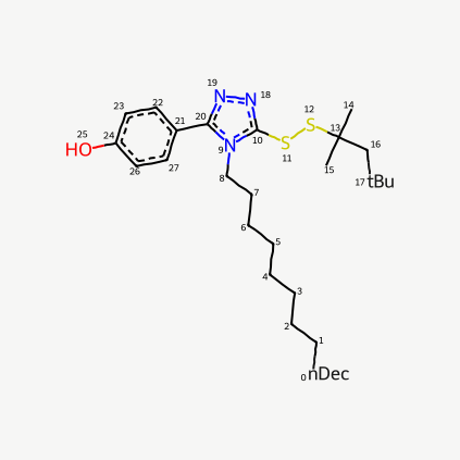 CCCCCCCCCCCCCCCCCCn1c(SSC(C)(C)CC(C)(C)C)nnc1-c1ccc(O)cc1